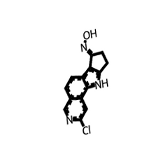 ON=C1CCc2[nH]c3c(ccc4cnc(Cl)cc43)c21